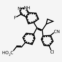 N#Cc1cc(Cl)ccc1/C(=C(\c1ccc(/C=C/C(=O)O)cc1)c1ccc2[nH]nc(F)c2c1)C1CC1